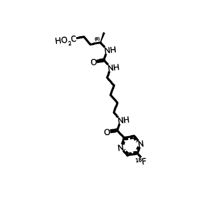 C[C@H](CCC(=O)O)NC(=O)NCCCCCNC(=O)c1cnc([18F])cn1